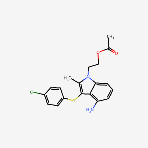 CC(=O)OCCn1c(C)c(Sc2ccc(Cl)cc2)c2c(N)cccc21